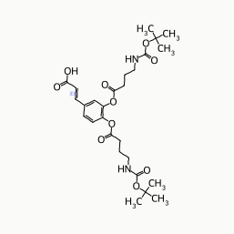 CC(C)(C)OC(=O)NCCCC(=O)Oc1ccc(/C=C/C(=O)O)cc1OC(=O)CCCNC(=O)OC(C)(C)C